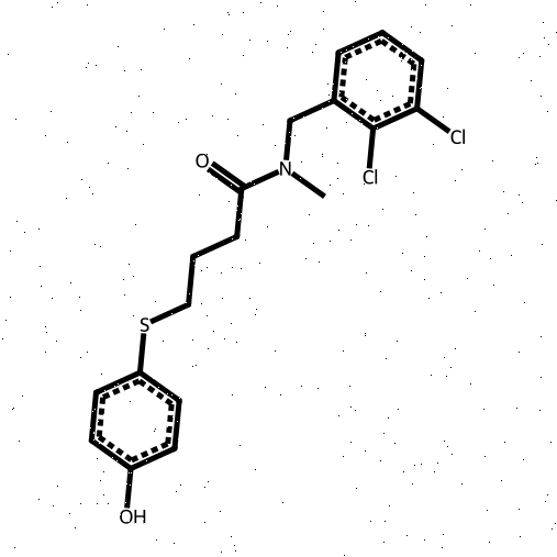 CN(Cc1cccc(Cl)c1Cl)C(=O)CCCSc1ccc(O)cc1